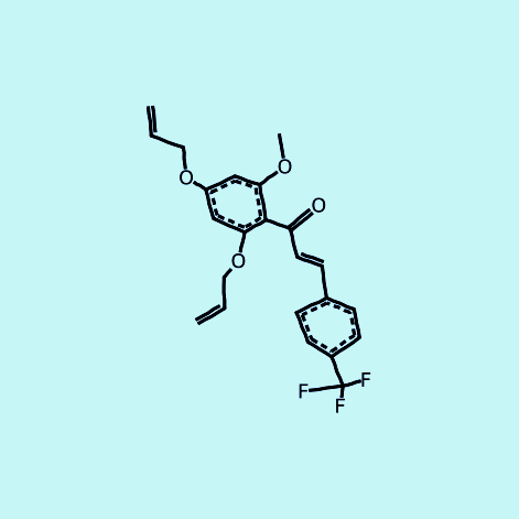 C=CCOc1cc(OC)c(C(=O)/C=C/c2ccc(C(F)(F)F)cc2)c(OCC=C)c1